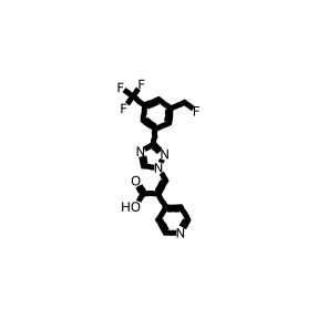 O=C(O)C(=Cn1cnc(-c2cc(CF)cc(C(F)(F)F)c2)n1)c1ccncc1